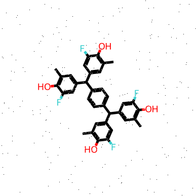 Cc1cc(C(c2ccc(C(c3cc(C)c(O)c(F)c3)c3cc(C)c(O)c(F)c3)cc2)c2cc(C)c(O)c(F)c2)cc(F)c1O